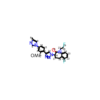 COc1cc(-n2cnc(C)c2)ccc1-c1cn(C2CCc3c(F)cccc3N(CCF)C2=O)nn1